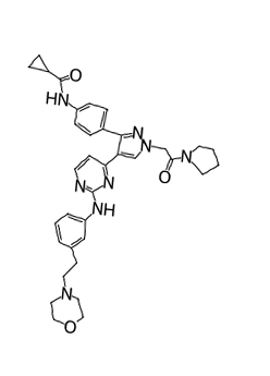 O=C(Nc1ccc(-c2nn(CC(=O)N3CCCC3)cc2-c2ccnc(Nc3cccc(CCN4CCOCC4)c3)n2)cc1)C1CC1